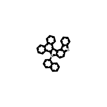 c1ccc2c(-n3c4ccc5sc6ccccc6c5c4c4c5ccccc5c5ccccc5c43)cccc2c1